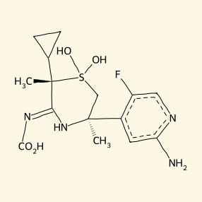 C[C@@]1(c2cc(N)ncc2F)CS(O)(O)[C@@](C)(C2CC2)C(=NC(=O)O)N1